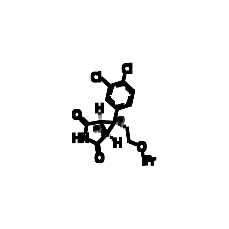 CC(C)OCC[C@@]1(c2ccc(Cl)c(Cl)c2)[C@@H]2C(=O)NC(=O)[C@@H]21